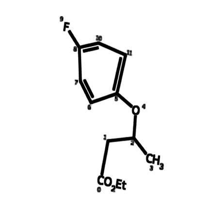 CCOC(=O)CC(C)Oc1ccc(F)cc1